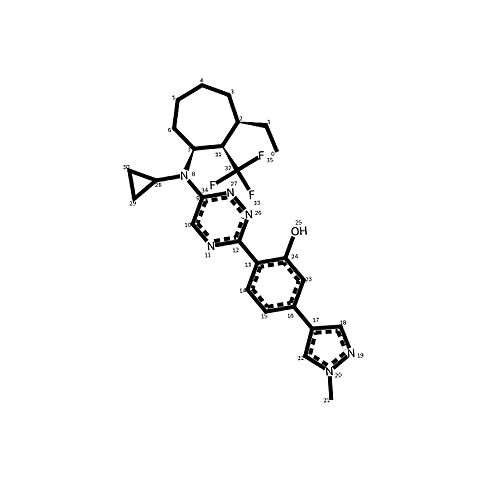 CC[C@@H]1CCCC[C@H](N(c2cnc(-c3ccc(-c4cnn(C)c4)cc3O)nn2)C2CC2)[C@@H]1C(F)(F)F